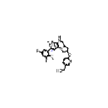 COc1c(F)cc(F)cc1/C(N)=C/C1=C(N)NCC2CC(Oc3ccc(CO)cn3)CN12